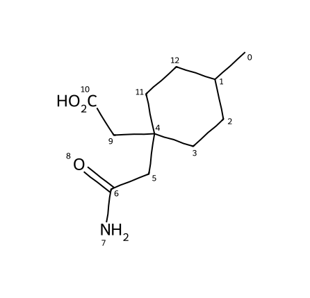 CC1CCC(CC(N)=O)(CC(=O)O)CC1